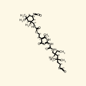 CCC(C)(CNC(=O)Nc1nc(=O)c(CCOC(=O)NCC2(C)CC(N=C=O)CC(C)(C)C2)c(C)[nH]1)CC(C)(C)CCN=C=O